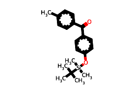 Cc1ccc(C(=O)c2ccc(O[Si](C)(C)C(C)(C)C)cc2)cc1